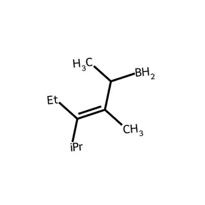 BC(C)/C(C)=C(\CC)C(C)C